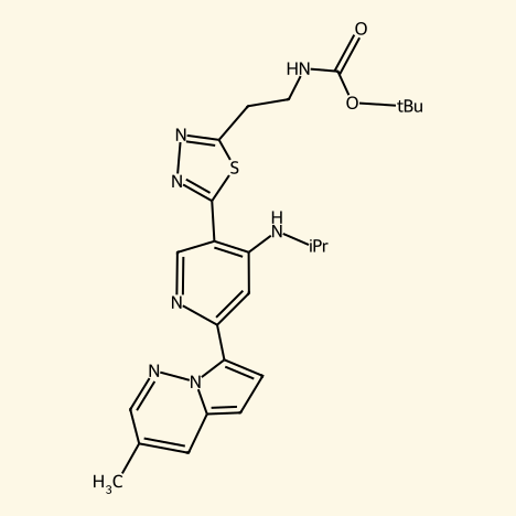 Cc1cnn2c(-c3cc(NC(C)C)c(-c4nnc(CCNC(=O)OC(C)(C)C)s4)cn3)ccc2c1